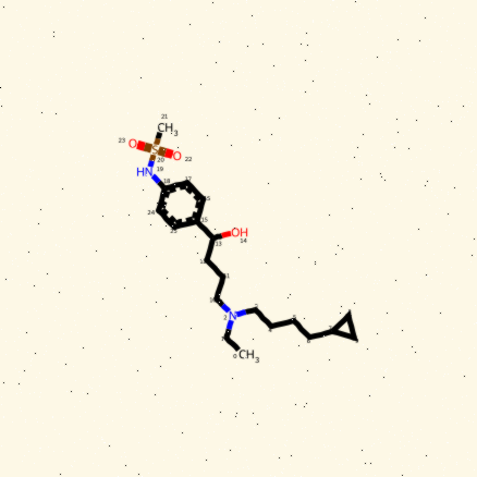 CCN(CCCCC1CC1)CCCC(O)c1ccc(NS(C)(=O)=O)cc1